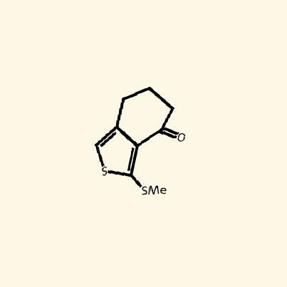 CSc1scc2c1C(=O)CCC2